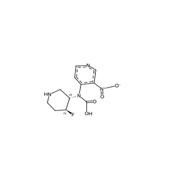 O=C(O)N(c1ccncc1[N+](=O)[O-])[C@H]1CNCC[C@@H]1F